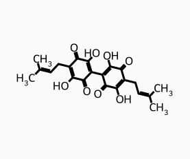 CC(C)=CCC1=C(O)C(=O)C(C2=C(O)C(=O)C(CC=C(C)C)=C(O)C2=O)=C(O)C1=O